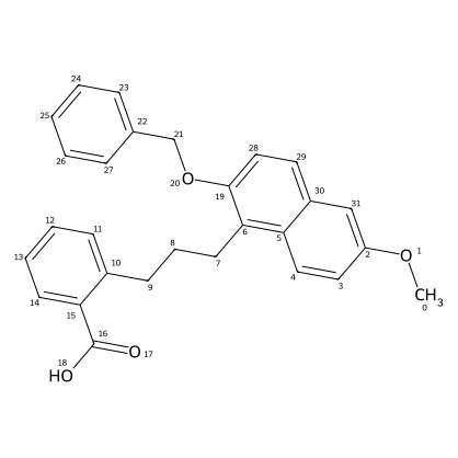 COc1ccc2c(CCCc3ccccc3C(=O)O)c(OCc3ccccc3)ccc2c1